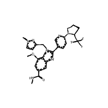 CNC(=O)c1cc(OC)c2c(c1)nc(-c1ccc(N3CCCC3C(F)(F)F)nc1)n2Cc1ccn(C)n1